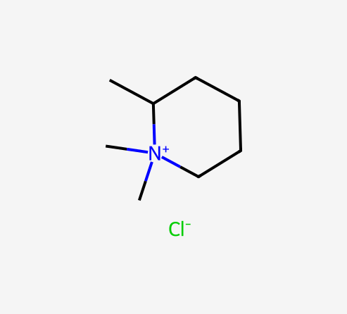 CC1CCCC[N+]1(C)C.[Cl-]